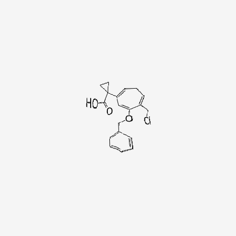 O=C(O)C1(C2=CCC=C(CCl)C(OCc3ccccc3)=C2)CC1